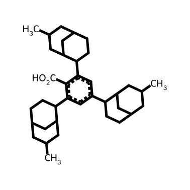 CC1CC2CCC(c3cc(C4CCC5CC(C)CC4C5)c(C(=O)O)c(C4CCC5CC(C)CC4C5)c3)C(C1)C2